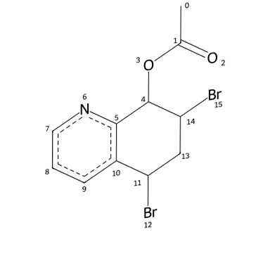 CC(=O)OC1c2ncccc2C(Br)CC1Br